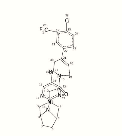 O=C(CN1CC2CCC(C1)N2c1ncc(Br)cn1)N1CC=C(c2ccc(Cl)c(C(F)(F)F)c2)CC1